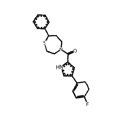 O=C(c1cc(C2=CC=C(F)CC2)c[nH]1)N1CCSC(c2ccccc2)CC1